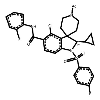 CC(=O)N1CCC2(CC1)c1c(ccc(C(=O)Nc3ccccc3F)c1Cl)N(S(=O)(=O)c1ccc(F)cc1)[C@@H]2C1CC1